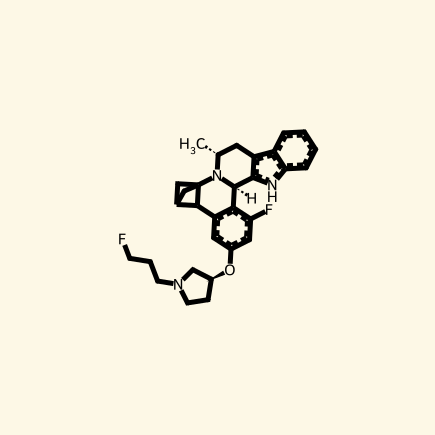 C[C@@H]1Cc2c([nH]c3ccccc23)[C@H]2c3c(F)cc(O[C@H]4CCN(CCCF)C4)cc3C3C4CC3(C4)N21